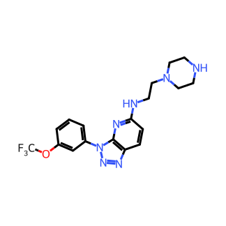 FC(F)(F)Oc1cccc(-n2nnc3ccc(NCCN4CCNCC4)nc32)c1